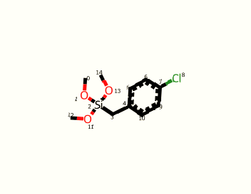 CO[Si](Cc1ccc(Cl)cc1)(OC)OC